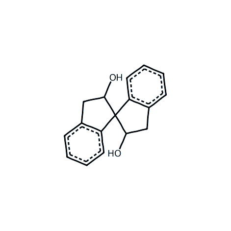 OC1Cc2ccccc2C12c1ccccc1CC2O